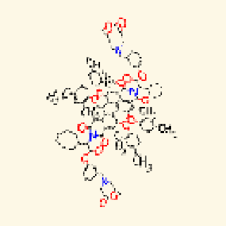 Cc1ccc(Oc2cc3c4c(cc(Oc5ccc(C)cc5C)c5c6c(Oc7ccc(C)cc7C)cc7c8c(cc(Oc9ccc(C)cc9C)c(c2c45)c86)C(=O)N(C(C(=O)Oc2cccc(CN(CC4CO4)CC4CO4)c2)C2CCCCCC2)C7=O)C(=O)N(C(C(=O)Oc2cccc(CN(CC4CO4)CC4CO4)c2)C2CCCCCC2)C3=O)c(C)c1